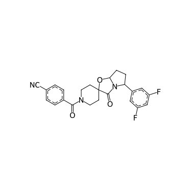 N#Cc1ccc(C(=O)N2CCC3(CC2)OC2CCC(c4cc(F)cc(F)c4)N2C3=O)cc1